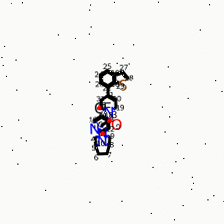 O=C(CN1CC2CCC(C1)N2c1ccc(C(F)(F)F)cn1)N1CC=C(c2cccc3ccsc23)CC1